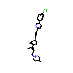 C/C(=C\CN1CCC(C)CC1)c1ccc(C#Cc2ccc(-c3ccc(Cl)cc3)cn2)cc1